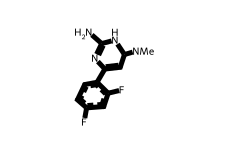 CNC1C=C(c2ccc(F)cc2F)N=C(N)N1